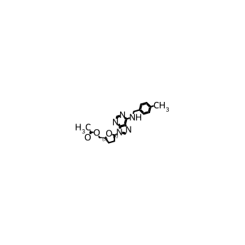 CC(=O)OC[C@@H]1CC[C@H](n2cnc3c(NCc4ccc(C)cc4)ncnc32)O1